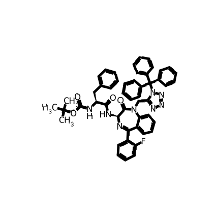 CC(C)(C)OC(=O)N[C@@H](Cc1ccccc1)C(=O)N[C@@H]1N=C(c2ccccc2F)c2ccccc2N(Cc2nnnn2C(c2ccccc2)(c2ccccc2)c2ccccc2)C1=O